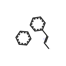 [CH2]/C=C/c1ccccc1.[c]1ccccc1